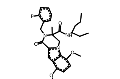 CCCC(CC)NC(=O)C1(C)Cn2c(cc3c(OC)ccc(OC)c32)C(=O)N1Cc1ccccc1F